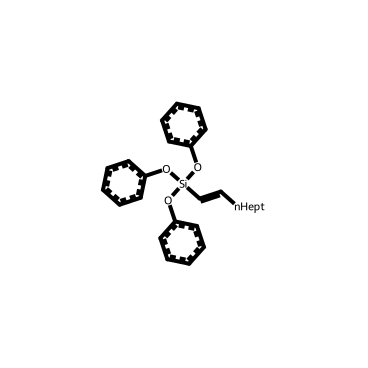 CCCCCCC/C=C/[Si](Oc1ccccc1)(Oc1ccccc1)Oc1ccccc1